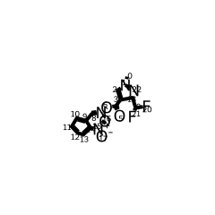 Cn1cc(C(=O)O/N=C/c2ccccc2[N+](=O)[O-])c(C(F)F)n1